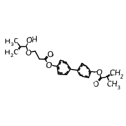 C=C(C)C(=O)Oc1ccc(-c2ccc(OC(=O)CCOC(O)C(=C)C)cc2)cc1